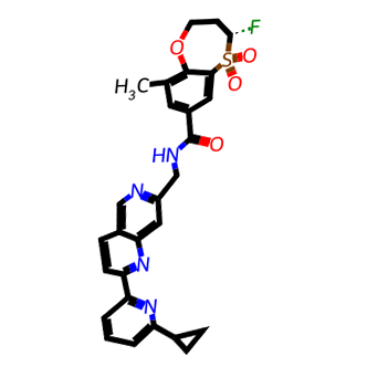 Cc1cc(C(=O)NCc2cc3nc(-c4cccc(C5CC5)n4)ccc3cn2)cc2c1OCC[C@H](F)S2(=O)=O